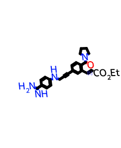 CCOC(=O)/C=C/c1cc(C#CCNc2ccc(C(=N)N)cc2)ccc1C(=O)N1CCCC1